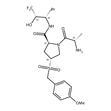 COc1ccc(CS(=O)(=O)[C@@H]2C[C@@H](C(=O)N[C@@H](C(C)C)[C@H](O)C(F)(F)F)N(C(=O)[C@H](C)N)C2)cc1